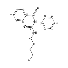 CCCCCNC(=O)N(C(=S)c1ccccc1)c1ccccc1